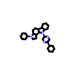 c1ccc(-c2cnc(-n3c4ccccc4c4ccc5c(ccn5-c5ccccc5)c43)cn2)cc1